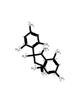 C=CCC(N)(c1c(C)cc(C)cc1C)C(N)c1c(C)cc(C)cc1C